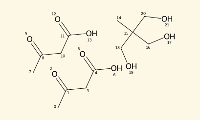 CC(=O)CC(=O)O.CC(=O)CC(=O)O.CC(CO)(CO)CO